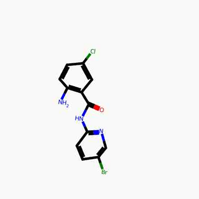 Nc1ccc(Cl)cc1C(=O)Nc1ccc(Br)cn1